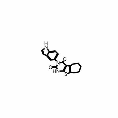 O=c1[nH]c2sc3c(c2c(=O)n1-c1ccc2[nH]ccc2c1)CCCCC3